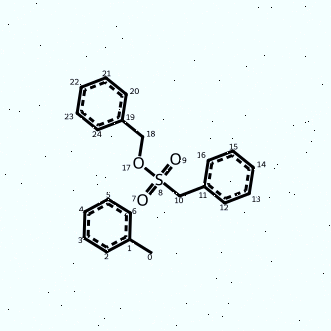 Cc1ccccc1.O=S(=O)(Cc1ccccc1)OCc1ccccc1